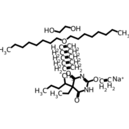 C=C.C=C.C=C.C=C.C=C.C=C.CCCC(C)C1(CC)C(=O)N=C([O-])NC1=O.CCCCCCCCOCCCCCCCC.OCCO.[Na+]